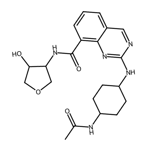 CC(=O)NC1CCC(Nc2ncc3cccc(C(=O)NC4COCC4O)c3n2)CC1